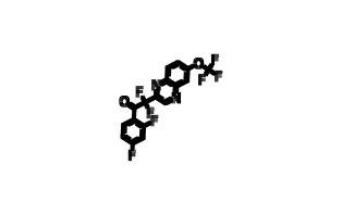 O=C(c1ccc(F)cc1F)C(F)(F)c1cnc2cc(OC(F)(F)F)ccc2n1